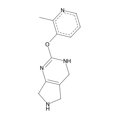 Cc1ncccc1OC1=NC2=C(CNC2)CN1